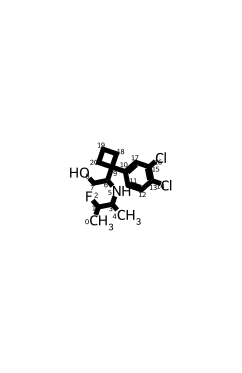 CC(F)C(C)NC(CO)C1(c2ccc(Cl)c(Cl)c2)CCC1